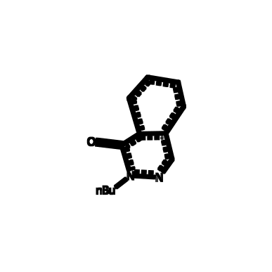 CCCCn1ncc2ccccc2c1=O